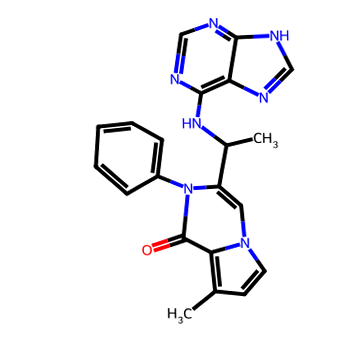 Cc1ccn2cc(C(C)Nc3ncnc4[nH]cnc34)n(-c3ccccc3)c(=O)c12